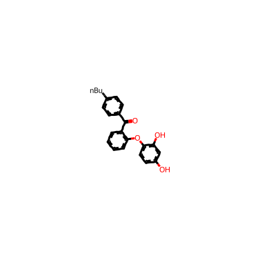 CCCCc1ccc(C(=O)c2ccccc2Oc2ccc(O)cc2O)cc1